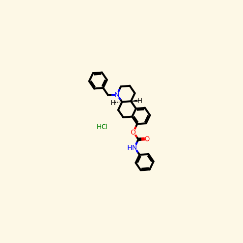 Cl.O=C(Nc1ccccc1)Oc1cccc2c1CC[C@@H]1[C@@H]2CCCN1Cc1ccccc1